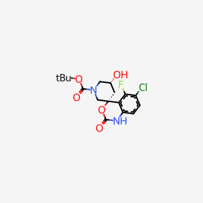 CC(C)(C)OC(=O)N1C[C@H](O)C[C@@]2(C1)OC(=O)Nc1ccc(Cl)c(F)c12